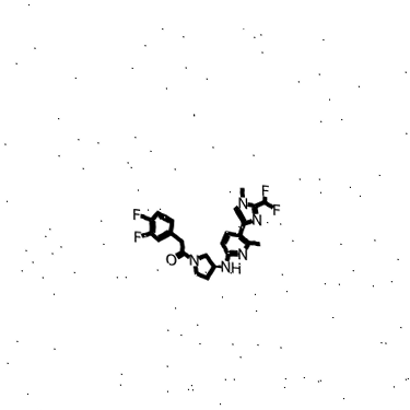 Cc1nc(N[C@H]2CCN(C(=O)Cc3ccc(F)c(F)c3)C2)ccc1-c1cn(C)c(C(F)F)n1